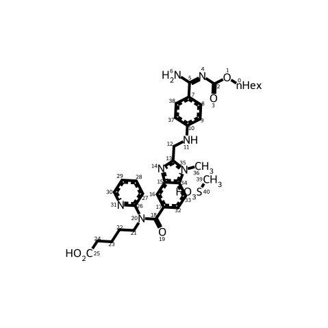 CCCCCCOC(=O)/N=C(/N)c1ccc(NCc2nc3cc(C(=O)N(CCCCC(=O)O)c4ccccn4)ccc3n2C)cc1.CS(=O)(=O)O